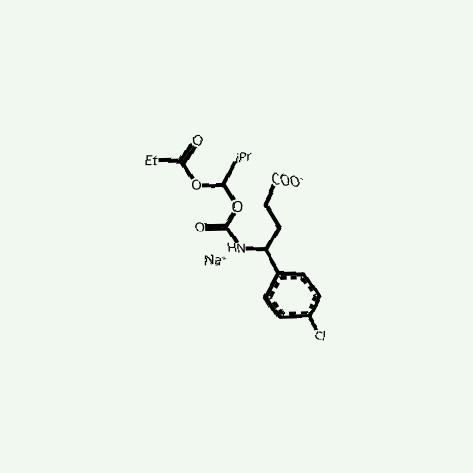 CCC(=O)OC(OC(=O)NC(CCC(=O)[O-])c1ccc(Cl)cc1)C(C)C.[Na+]